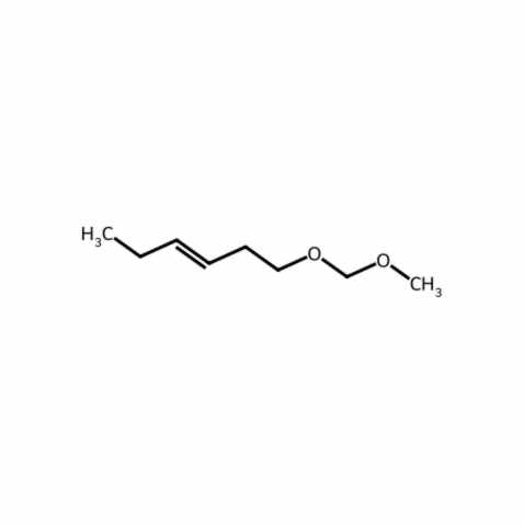 CC/C=C/CCOCOC